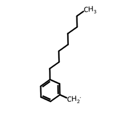 [CH2]c1cccc(CCCCCCCC)c1